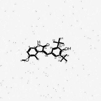 COc1ccc2c(c1C)/C(=C/c1cc(C(C)(C)C)c(O)c(C(C)(C)C)c1)C(=O)N2